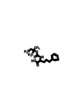 CC(C)(CN)OC(=O)NC(CCCc1ccccc1)C(=O)O